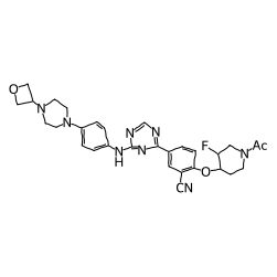 CC(=O)N1CCC(Oc2ccc(-c3ncnc(Nc4ccc(N5CCN(C6COC6)CC5)cc4)n3)cc2C#N)C(F)C1